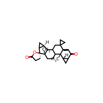 C[C@@]12C(=CC(=O)C3C[C@@H]31)C1(CC1)CC1C2CC[C@@]2(C)C1[C@@H]1CC1[C@@]21CCC(=O)O1